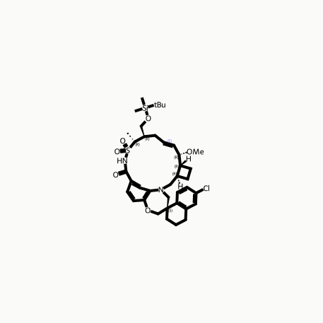 CO[C@H]1/C=C/C[C@H](CO[Si](C)(C)C(C)(C)C)[C@@H](C)S(=O)(=O)NC(=O)c2ccc3c(c2)N(C[C@@H]2CC[C@H]21)C[C@@]1(CCCc2cc(Cl)ccc21)CO3